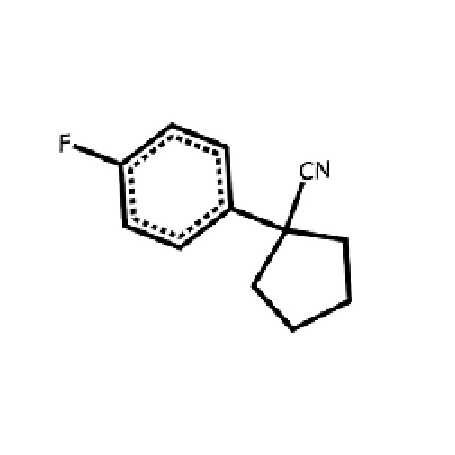 N#CC1(c2ccc(F)cc2)CCCC1